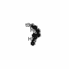 Cc1ccc2c(NC(=O)CC3CCCCC3)cccc2c1Oc1ncccc1-c1ccnc(N[C@H]2CCCN(C(=O)OC(C)(C)C)C2)n1